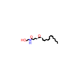 CCCCC/C=C\C/C=C\C/C=C\C[C@H]1O[C@H]1CCCC(=O)NCCO